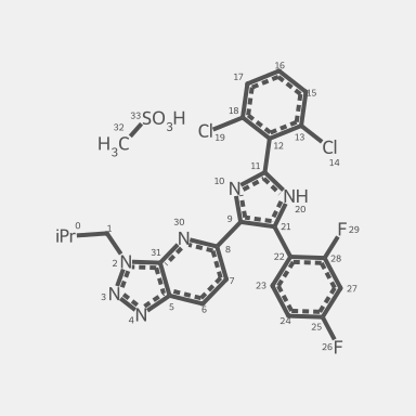 CC(C)Cn1nnc2ccc(-c3nc(-c4c(Cl)cccc4Cl)[nH]c3-c3ccc(F)cc3F)nc21.CS(=O)(=O)O